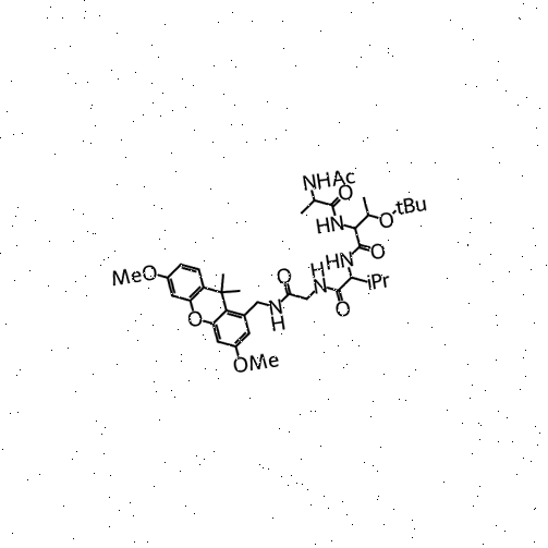 COc1ccc2c(c1)Oc1cc(OC)cc(CNC(=O)CNC(=O)C(NC(=O)C(NC(=O)C(C)NC(C)=O)C(C)OC(C)(C)C)C(C)C)c1C2(C)C